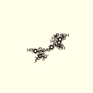 CCC(C)(C)c1ccc(OC(OCCOc2ccc(N=Nc3c(S(=O)(=O)O)cc4cc(S(=O)(=O)O)cc(NC(C)=O)c4c3O)cc2)C(=O)Nc2ccc(O)cc2)c(C(C)(C)CC)c1